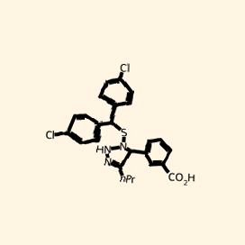 CCCC1=NNN(SC(c2ccc(Cl)cc2)c2ccc(Cl)cc2)C1c1cccc(C(=O)O)c1